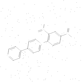 O=[N+]([O-])c1ccc(-[n+]2ccc(-c3ccncc3)cc2)c([N+](=O)[O-])c1.[Cl-]